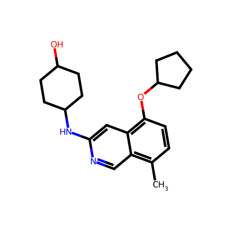 Cc1ccc(OC2CCCC2)c2cc(NC3CCC(O)CC3)ncc12